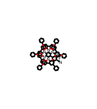 N#Cc1ccc(-c2c(-n3c4ccc(-c5ccccc5)cc4c4cc(-c5ccccc5)ccc43)c(-n3c4ccccc4c4ccccc43)c(-n3c4ccc(-c5ccccc5)cc4c4cc(-c5ccccc5)ccc43)c(-n3c4ccccc4c4ccccc43)c2-n2c3ccc(-c4ccccc4)cc3c3cc(-c4ccccc4)ccc32)cc1C(F)(F)F